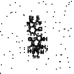 CCn1nc2ccc(-c3c[nH]c4nc(N5[C@H]6CC[C@@H]5[C@H](N)C6)n(C)c(=O)c34)c(Cl)c2c1C(F)F